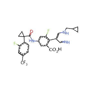 N=C/C(=C\NCC1CC1)c1c(F)cc(NC(=O)C2(c3ccc(C(F)(F)F)cc3F)CC2)cc1C(=O)O